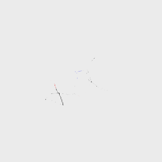 Cc1nc(C2(O)CC2)oc1C=O